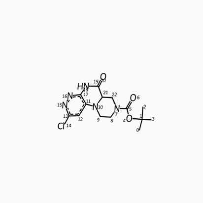 CC(C)(C)OC(=O)N1CCN2c3cc(Cl)nnc3NC(=O)C2C1